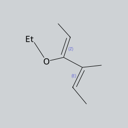 C/C=C(OCC)/C(C)=C/C